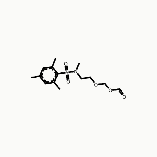 Cc1cc(C)c(S(=O)(=O)N(C)CCOCOC=O)c(C)c1